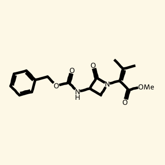 COC(=O)C(=C(C)C)N1CC(NC(=O)OCc2ccccc2)C1=O